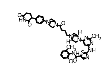 Cc1nc(Nc2ncc(C(=O)Nc3c(C)cccc3Cl)s2)cc(N2C[C@@H]3C[C@H]2CN3CCCC(=O)N2CC3CC2CN3c2ccc(C3CCC(=O)NC3=O)cc2)n1